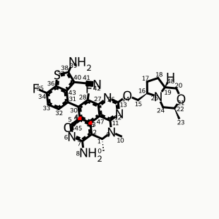 C[C@H](c1cccnc1N)N(C)c1nc(OC[C@H]2CC[C@@H]3CO[C@@H](C)CN23)nc2c(F)c(-c3ccc(F)c4sc(N)c(C#N)c34)c(Cl)cc12